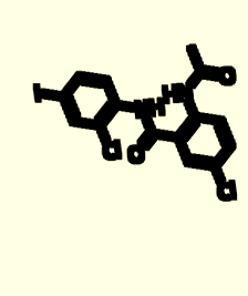 CC(=O)Nc1ccc(Cl)cc1C(=O)Nc1ccc(I)cc1Cl